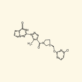 Cc1c(C(=O)N2CC[C@@H](COc3nccc(Cl)n3)C2)cnn1-c1nn2cccc2c(=O)[nH]1